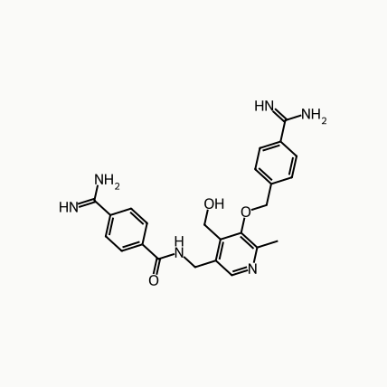 Cc1ncc(CNC(=O)c2ccc(C(=N)N)cc2)c(CO)c1OCc1ccc(C(=N)N)cc1